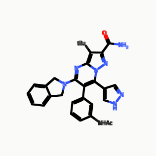 CC(=O)Nc1cccc(-c2c(N3Cc4ccccc4C3)nc3c(C(C)(C)C)c(C(N)=O)nn3c2-c2cn[nH]c2)c1